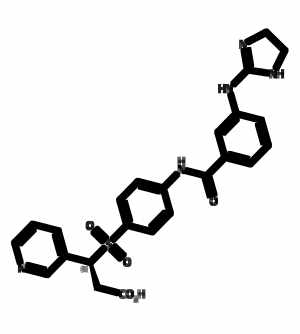 O=C(O)C[C@@H](c1cccnc1)S(=O)(=O)c1ccc(NC(=O)c2cccc(NC3=NCCN3)c2)cc1